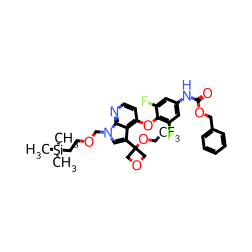 C[Si](C)(C)CCOCn1cc(C2(OCC(F)(F)F)COC2)c2c(Oc3c(F)cc(NC(=O)OCc4ccccc4)cc3F)ccnc21